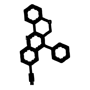 N#Cc1ccc2nc3c(c(-c4ccccc4)c2c1)COc1ccccc1-3